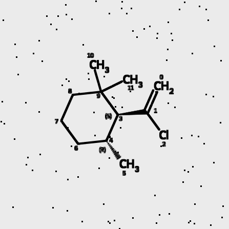 C=C(Cl)[C@H]1[C@H](C)CCCC1(C)C